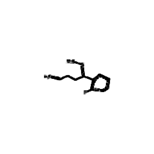 C=CCC/C(=N\SC)c1ccccc1F